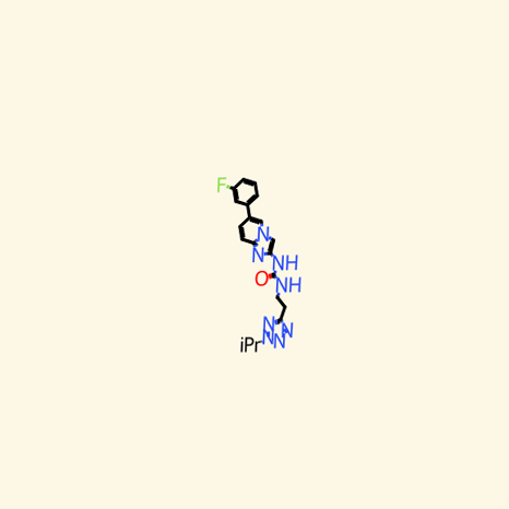 CC(C)n1nnc(CCNC(=O)Nc2cn3cc(-c4cccc(F)c4)ccc3n2)n1